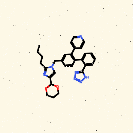 CCCCc1nc(C2OCCCO2)cn1Cc1ccc(-c2ccccc2-c2nnn[nH]2)c(-c2ccncc2)c1